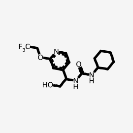 O=C(NC1CCCCC1)NC(CO)c1ccnc(OCC(F)(F)F)c1